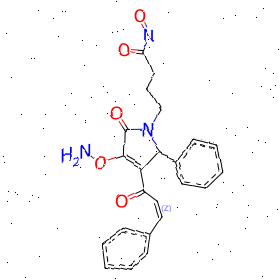 NOC1=C(C(=O)/C=C\c2ccccc2)C(c2ccccc2)N(CCCC(=O)N=O)C1=O